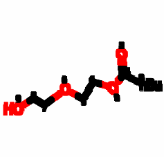 CCCCC(=O)OCCOCCO